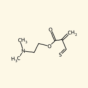 C=C(C=S)C(=O)OCCN(C)C